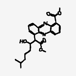 COC(=O)c1cccc2nc3c(C(C(=O)OC)C(O)CCCC(C)C)cccc3nc12